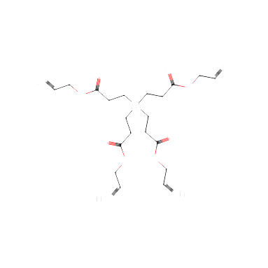 C=CCOC(=O)C[CH2][Sn]([CH2]CC(=O)OCC=C)([CH2]CC(=O)OCC=C)[CH2]CC(=O)OCC=C